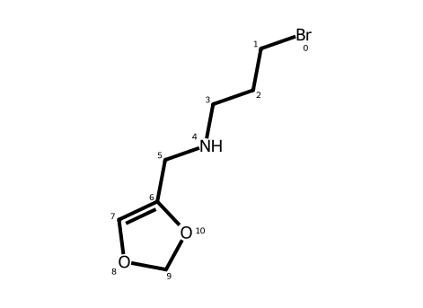 BrCCCNCC1=COCO1